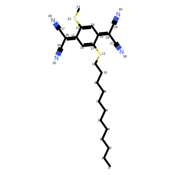 CCCCCCCCCCCCSc1cc(=C(C#N)C#N)c(SC)cc1=C(C#N)C#N